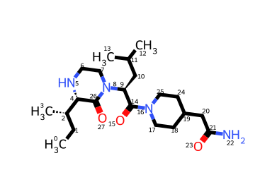 CC[C@H](C)[C@@H]1NCCN([C@@H](CC(C)C)C(=O)N2CCC(CC(N)=O)CC2)C1=O